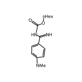 CCCCCCOC(=O)NC(=N)c1ccc(NC)cc1